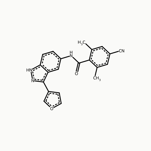 Cc1cc(C#N)cc(C)c1C(=O)Nc1ccc2[nH]nc(-c3ccoc3)c2c1